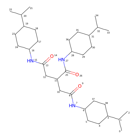 CC(C)C1CCC(NC(=O)CC(CC(=O)NC2CCC(C(C)C)CC2)C(=O)NC2CCC(C(C)C)CC2)CC1